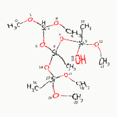 CO[SiH](OC)O[Si](C)(O[Si](C)(O)OC)O[Si](C)(OC)OC